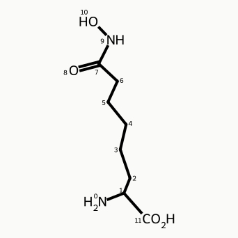 NC(CCCCCC(=O)NO)C(=O)O